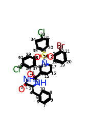 NC(=O)[C@H](Cc1ccccc1)NC(=O)C1=CC[C@@H](c2cccc(Br)c2)N(S(=O)(=O)c2ccc(Cl)cc2)[C@H]1c1cccc(Cl)c1